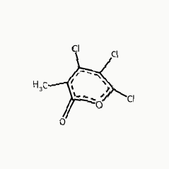 Cc1c(Cl)c(Cl)c(Cl)oc1=O